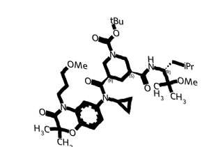 COCCCN1C(=O)C(C)(C)Oc2ccc(N(C(=O)[C@@H]3C[C@H](C(=O)N[C@H](CC(C)C)C(C)(C)OC)CN(C(=O)OC(C)(C)C)C3)C3CC3)cc21